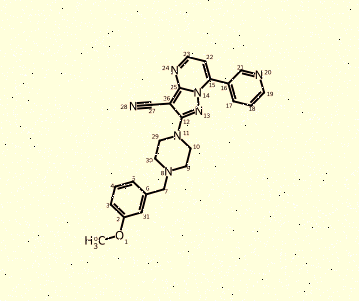 COc1cccc(CN2CCN(c3nn4c(-c5cccnc5)ccnc4c3C#N)CC2)c1